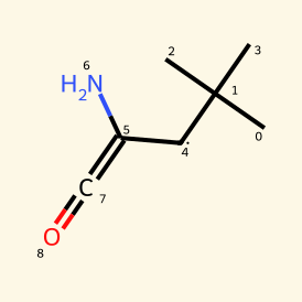 CC(C)(C)[CH]C(N)=C=O